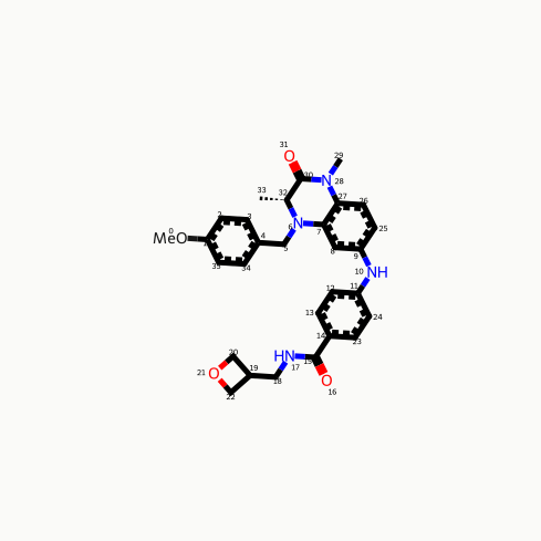 COc1ccc(CN2c3cc(Nc4ccc(C(=O)NCC5COC5)cc4)ccc3N(C)C(=O)[C@H]2C)cc1